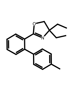 CCC1(CC)COC(c2ccccc2-c2ccc(C)cc2)=N1